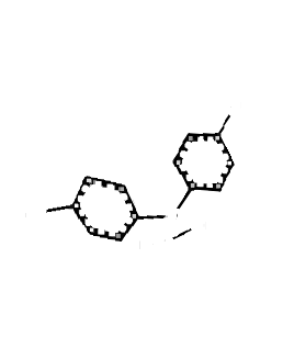 Cc1ccc(Oc2ccc(C)cc2)cc1.O=S(=O)(O)O